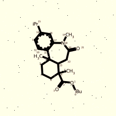 CCC(C)OC(=O)C1(C)CCCC2(C)c3ccc(C(C)C)cc3N(C)C(=O)CC12